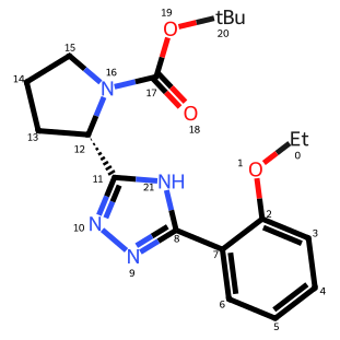 CCOc1ccccc1-c1nnc([C@@H]2CCCN2C(=O)OC(C)(C)C)[nH]1